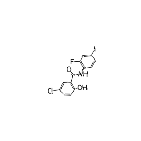 O=C(Nc1ccc(I)cc1F)c1cc(Cl)ccc1O